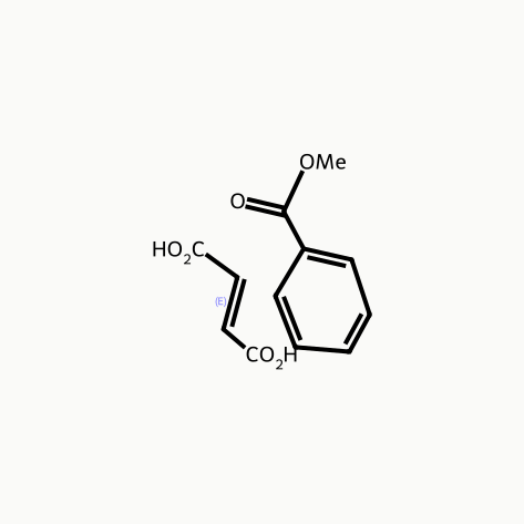 COC(=O)c1ccccc1.O=C(O)/C=C/C(=O)O